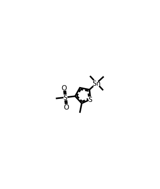 Cc1s[c]([Sn]([CH3])([CH3])[CH3])cc1S(C)(=O)=O